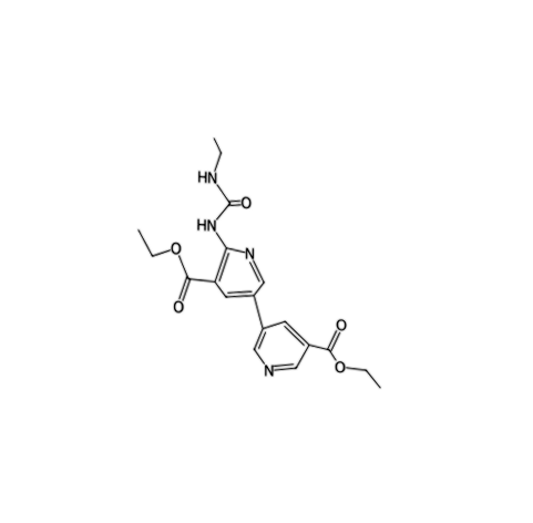 CCNC(=O)Nc1ncc(-c2cncc(C(=O)OCC)c2)cc1C(=O)OCC